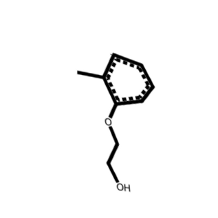 Cc1[c]cccc1OCCO